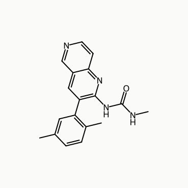 CNC(=O)Nc1nc2ccncc2cc1-c1cc(C)ccc1C